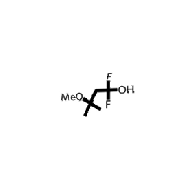 COC(C)(C)CC(O)(F)F